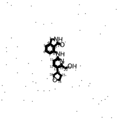 O=C1NCc2cccc(Nc3ccc(C4CCOC4)c(CO)n3)c21